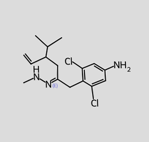 C=CC(C/C(Cc1c(Cl)cc(N)cc1Cl)=N\NC)C(C)C